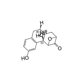 O=C1C2C[C@@]3(O)[C@H]4Cc5ccc(O)cc5[C@@]3(CCN4)C1O2